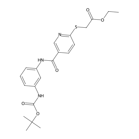 CCOC(=O)CSc1ccc(C(=O)Nc2cccc(NC(=O)OC(C)(C)C)c2)cn1